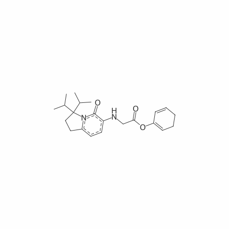 CC(C)C1(C(C)C)CCc2ccc(NCC(=O)OC3=CCCC=C3)c(=O)n21